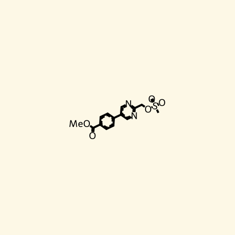 COC(=O)c1ccc(-c2cnc(COS(C)(=O)=O)nc2)cc1